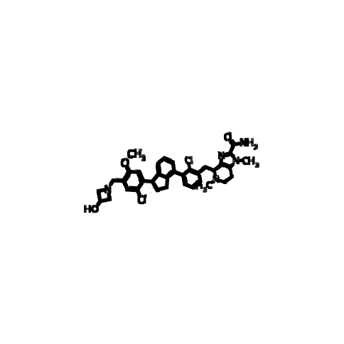 COc1cc(C2CCc3c(-c4cccc(CC5c6nc(C(N)=O)n(C)c6CCN5C)c4Cl)cccc32)c(Cl)cc1CN1CC(O)C1